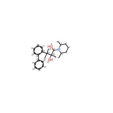 CC1CCCC(C)N1C(O)C(C)(O)C(C)(C)c1ccccc1-c1ccccc1